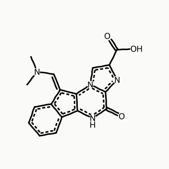 CN(C)C=c1c2ccccc2c2[nH]c(=O)c3nc(C(=O)O)cn3c12